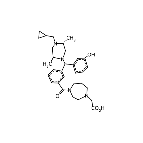 C[C@@H]1CN(C(c2cccc(O)c2)c2cccc(C(=O)N3CCCN(CC(=O)O)CC3)c2)[C@@H](C)CN1CC1CC1